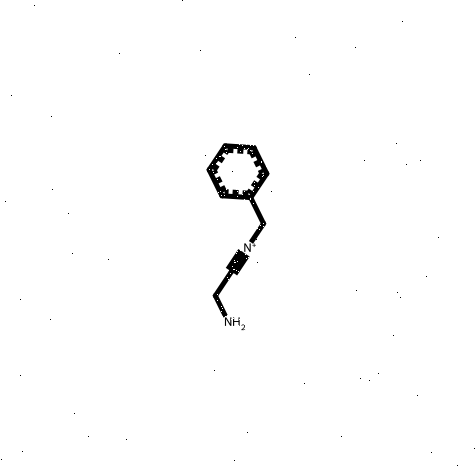 NCC#[N+]Cc1ccccc1